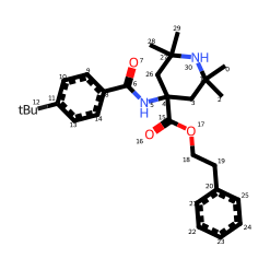 CC1(C)CC(NC(=O)c2ccc(C(C)(C)C)cc2)(C(=O)OCCc2ccccc2)CC(C)(C)N1